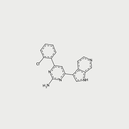 Nc1nc(-c2ccccc2Cl)cc(-c2c[nH]c3cnccc23)n1